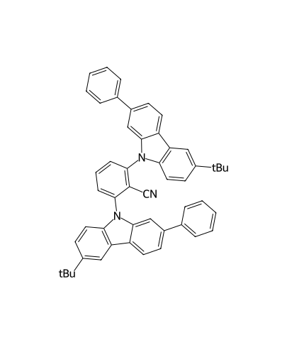 CC(C)(C)c1ccc2c(c1)c1ccc(-c3ccccc3)cc1n2-c1cccc(-n2c3ccc(C(C)(C)C)cc3c3ccc(-c4ccccc4)cc32)c1C#N